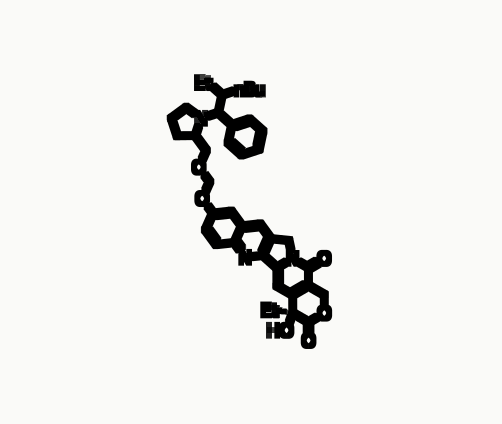 CCCCC(CC)C(c1ccccc1)N1CCCC1COCOc1ccc2nc3c(cc2c1)Cn1c-3cc2c(c1=O)COC(=O)[C@]2(O)CC